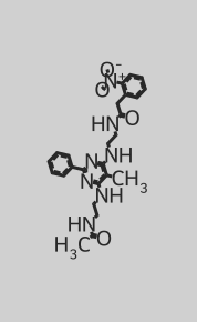 CC(=O)NCCNc1nc(-c2ccccc2)nc(NCCNC(=O)Cc2ccccc2[N+](=O)[O-])c1C